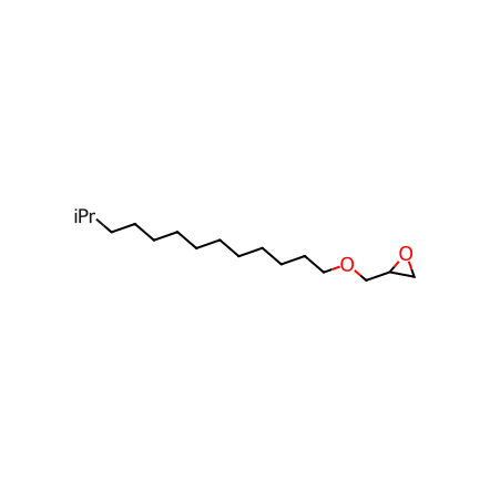 CC(C)CCCCCCCCCCCOCC1CO1